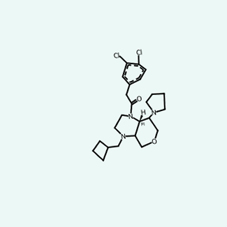 O=C(Cc1ccc(Cl)c(Cl)c1)N1CCN(CC2CCC2)C2COCC(N3CCCC3)[C@H]21